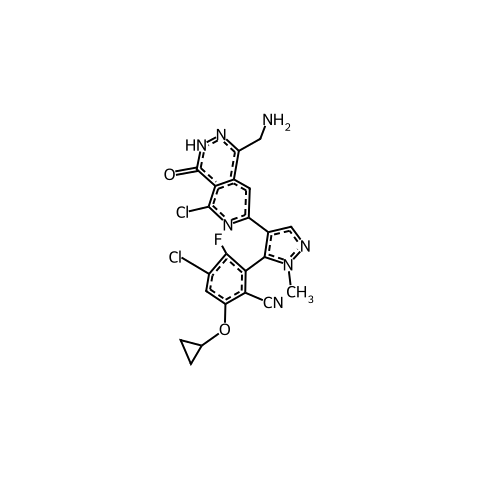 Cn1ncc(-c2cc3c(CN)n[nH]c(=O)c3c(Cl)n2)c1-c1c(F)c(Cl)cc(OC2CC2)c1C#N